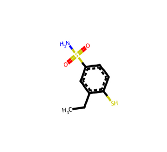 CCc1cc(S(N)(=O)=O)ccc1S